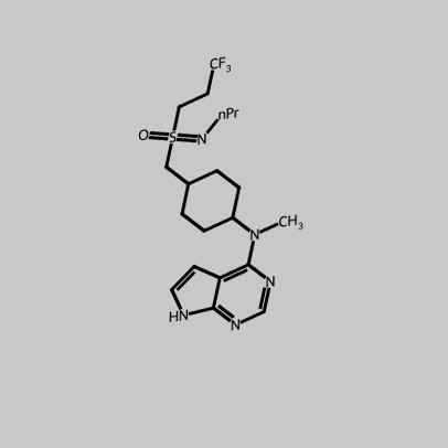 CCCN=S(=O)(CCC(F)(F)F)CC1CCC(N(C)c2ncnc3[nH]ccc23)CC1